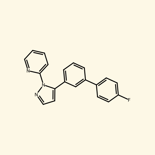 Fc1ccc(-c2cccc(-c3ccnn3-c3ccccn3)c2)cc1